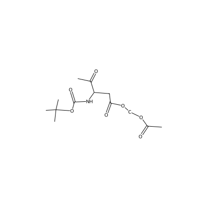 CC(=O)OCOC(=O)CC(NC(=O)OC(C)(C)C)C(C)=O